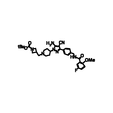 COc1ccc(F)cc1C(=O)NCc1ccc(-c2nn(C3CCN(CC4CN(C(=O)OC(C)(C)C)C4)CC3)c(N)c2C#N)cc1